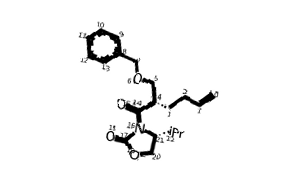 C=CCC[C@@H](COCc1ccccc1)C(=O)N1C(=O)OC[C@H]1C(C)C